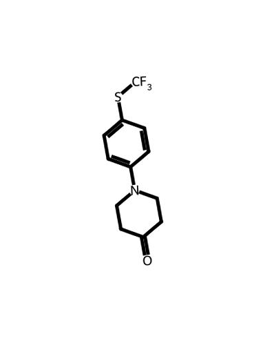 O=C1CCN(c2ccc(SC(F)(F)F)cc2)CC1